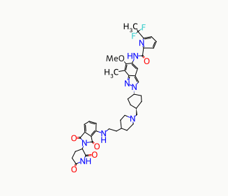 COc1c(NC(=O)c2cccc(C(C)(F)F)n2)cc2cn([C@H]3CC[C@H](CN4CCC(CCNc5cccc6c5C(=O)N(C5CCC(=O)NC5=O)C6=O)CC4)CC3)nc2c1C